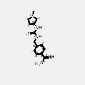 CN1CC[C@@H](NC(=O)NCc2ccc(C(=N)N)cc2)C1